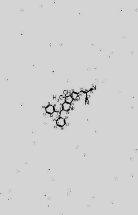 CC1(C)c2cc(N(c3ccccc3)c3ccccc3)cnc2-c2oc(C=C(C#N)C#N)cc21